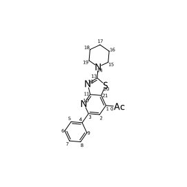 CC(=O)c1cc(-c2ccccc2)nc2nc(N3CCCCC3)sc12